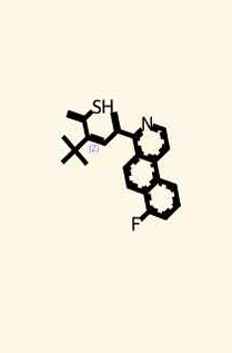 C=C(S)/C(=C\C(=C)c1nccc2c1ccc1c(F)cccc12)C(C)(C)C